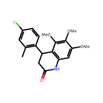 COc1cc2c(c(OC)c1OC)C(c1ccc(Cl)cc1C)CC(=O)N2